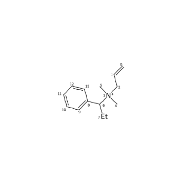 C=CC[N+](C)(C)C(CC)c1ccccc1